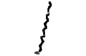 CCCCCCCCCCCCC[CH]S